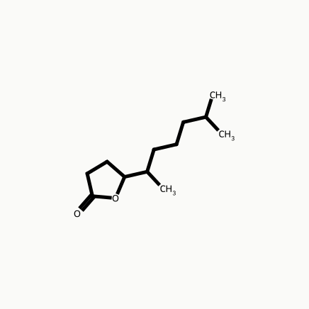 CC(C)CCCC(C)C1CCC(=O)O1